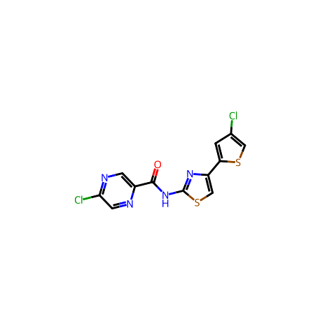 O=C(Nc1nc(-c2cc(Cl)cs2)cs1)c1cnc(Cl)cn1